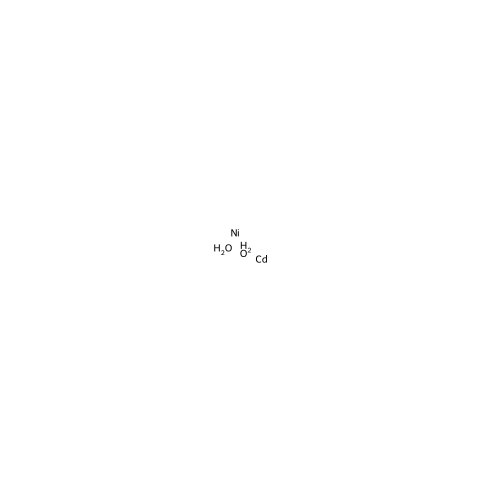 O.O.[Cd].[Ni]